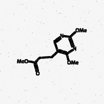 COC(=O)CCc1cnc(OC)nc1OC